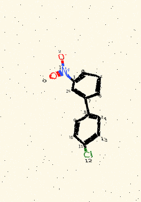 O=[N+]([O-])c1cc[c]c(-c2ccc(Cl)cc2)c1